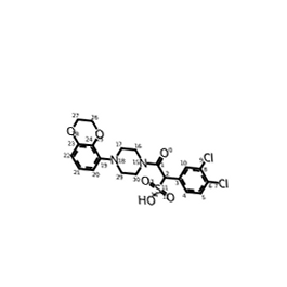 O=C(C(c1ccc(Cl)c(Cl)c1)S(=O)(=O)O)N1CCN(c2cccc3c2OCCO3)CC1